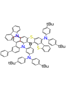 CC(C)(C)c1ccc(N(c2ccc(C(C)(C)C)cc2)c2ccc3c(c2)N(c2ccc(-c4ccccc4)cc2-c2ccccc2)c2cc(-n4c5ccccc5c5ccccc54)cc4c2B3c2c(cc(N(c3ccc(C(C)(C)C)cc3)c3ccc(C(C)(C)C)cc3)c3c2sc2ccccc23)S4)cc1